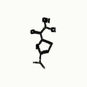 CC(C)c1ccc(C(=O)C(O)Cl)s1